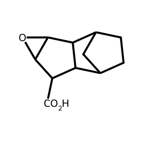 O=C(O)C1C2OC2C2C3CCC(C3)C12